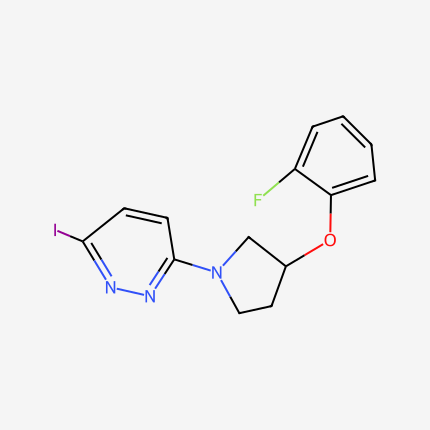 Fc1ccccc1OC1CCN(c2ccc(I)nn2)C1